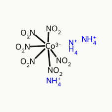 O=[N+]([O-])[Co-3]([N+](=O)[O-])([N+](=O)[O-])([N+](=O)[O-])([N+](=O)[O-])[N+](=O)[O-].[NH4+].[NH4+].[NH4+]